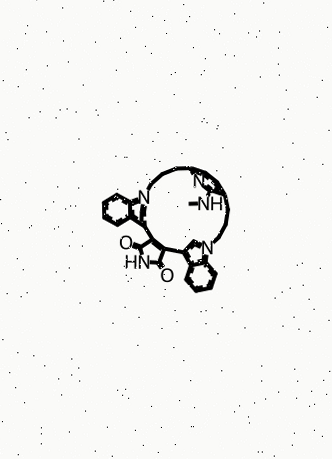 CNc1nc2ccc1CCCn1cc(c3ccccc31)C1=C(C(=O)NC1=O)c1cn(c3ccccc13)CCC2